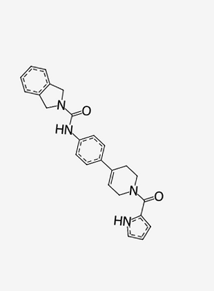 O=C(Nc1ccc(C2=CCN(C(=O)c3ccc[nH]3)CC2)cc1)N1Cc2ccccc2C1